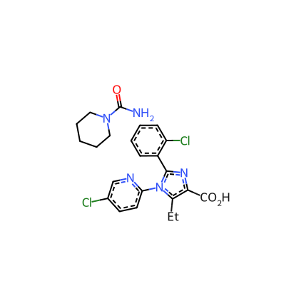 CCc1c(C(=O)O)nc(-c2ccccc2Cl)n1-c1ccc(Cl)cn1.NC(=O)N1CCCCC1